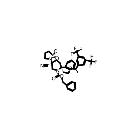 C[C@@H](OCC[C@@]1(c2ccccc2)CC[C@](C#N)(N2CCCS2(=O)=O)CN1C(=O)OCc1ccccc1)c1cc(C(F)(F)F)cc(C(F)(F)F)c1